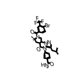 CNC(=O)c1ccc(N2C(=O)C3C[C@@H](C)N(C(=O)c4ccc(Br)c(C(F)(F)F)c4)CC3n3ncc(CC(C)C)c32)cc1